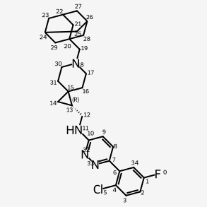 Fc1ccc(Cl)c(-c2ccc(NC[C@@H]3CC34CCN(CC35CC6CC(CC(C6)C3)C5)CC4)nn2)c1